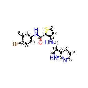 Cc1cc(NC(=O)c2sccc2NCc2c[nH]c3ncccc23)ccc1Br